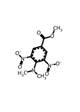 COC(=O)c1cc([N+](=O)[O-])c(N(C)C)c([N+](=O)[O-])c1